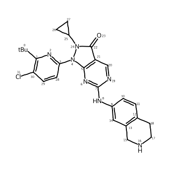 CC(C)(C)c1nc(-n2c3nc(Nc4ccc5c(c4)CNCC5)ncc3c(=O)n2C2CC2)ccc1Cl